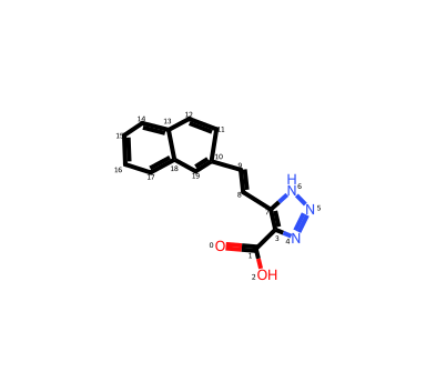 O=C(O)c1nn[nH]c1C=Cc1ccc2ccccc2c1